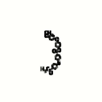 COc1ccc(Oc2ccc(OC(=O)c3ccc(Sc4ccc(C(C)=O)cc4)cc3)cc2)cc1